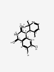 CCC(C)C1(C)N=CC=C(C)C1n1c(=O)[nH]c(=O)c2cc(F)c(Cl)nc21